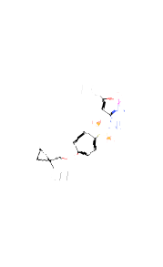 Cc1cc(NS(=O)(=O)c2ccc(OCC3(C)CC3)cc2)no1